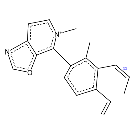 C=Cc1ccc(-c2c3ocnc3cc[n+]2C)c(C)c1/C=C\C